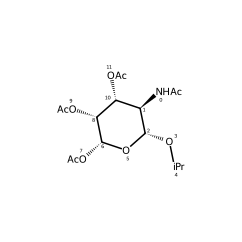 CC(=O)N[C@H]1[C@H](OC(C)C)O[C@H](OC(C)=O)[C@H](OC(C)=O)[C@@H]1OC(C)=O